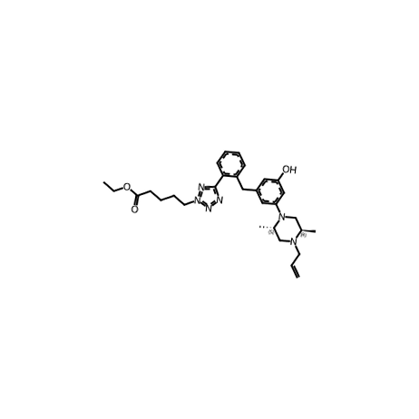 C=CCN1C[C@H](C)N(c2cc(O)cc(Cc3ccccc3-c3nnn(CCCCC(=O)OCC)n3)c2)C[C@H]1C